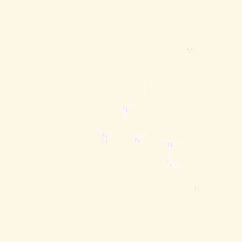 COCCOc1cc(-n2ccc(C)n2)nc(NC2CCC(F)(F)CC2)n1